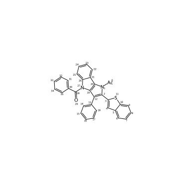 CC(=O)n1c(-c2cc3ccccc3s2)c(-c2ccccc2)c2c1c1ccccc1n2C(=O)c1ccccc1